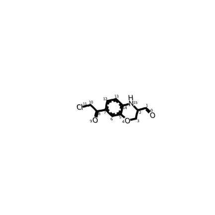 O=CC1COc2cc(C(=O)CCl)ccc2N1